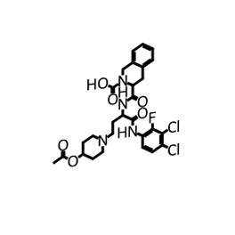 CC(=O)OC1CCN(CCC(NC(=O)C2Cc3ccccc3CN2C(=O)O)C(=O)Nc2ccc(Cl)c(Cl)c2F)CC1